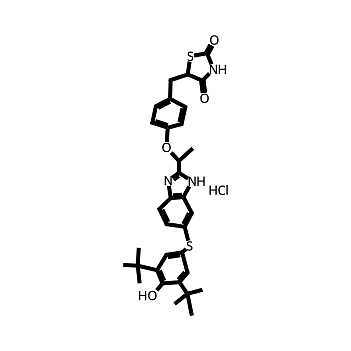 CC(Oc1ccc(CC2SC(=O)NC2=O)cc1)c1nc2ccc(Sc3cc(C(C)(C)C)c(O)c(C(C)(C)C)c3)cc2[nH]1.Cl